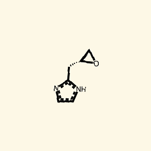 c1c[nH]c(C[C@@H]2CO2)n1